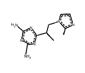 Cc1nccn1CC(C)c1nc(N)nc(N)n1